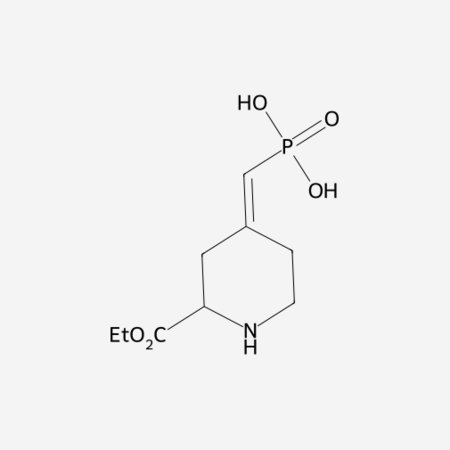 CCOC(=O)C1CC(=CP(=O)(O)O)CCN1